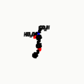 O=C(O)CCCN1CC(C(=O)O)Oc2cc(C=Cc3ccc(OCCc4ccccc4)cc3)ccc21